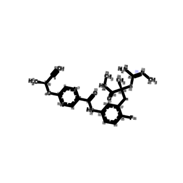 C#C[C@H](C)Oc1cnc(C(=O)Nc2ccc(F)c(C[C@@](C)(S/C(N)=N\C)C(=O)NC)c2)cn1